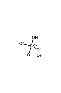 [Ce].[O-][Br+3]([O-])([O-])O